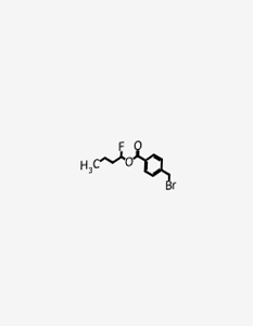 CCCC(F)OC(=O)c1ccc(CBr)cc1